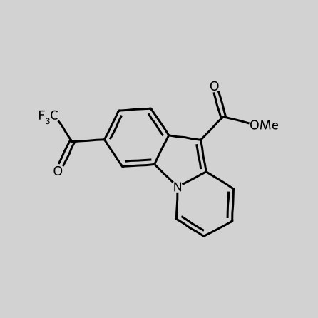 COC(=O)c1c2ccc(C(=O)C(F)(F)F)cc2n2ccccc12